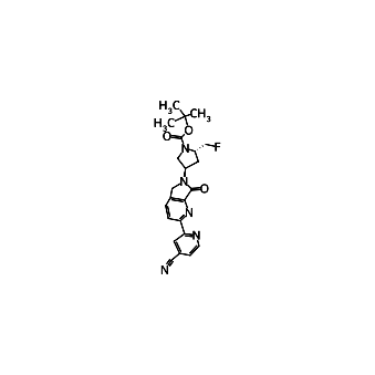 CC(C)(C)OC(=O)N1C[C@H](N2Cc3ccc(-c4cc(C#N)ccn4)nc3C2=O)C[C@H]1CF